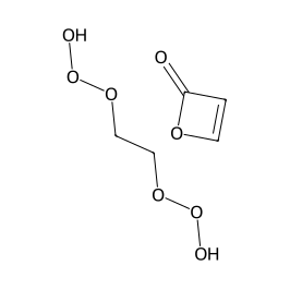 O=C1C=CO1.OOOCCOOO